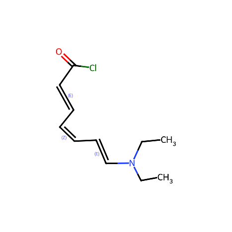 CCN(/C=C/C=C\C=C\C(=O)Cl)CC